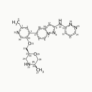 Cc1cc(-c2ccn3nc(Nc4cccnn4)cc3c2)c(OC[C@@H]2CN[C@H](C)CO2)cn1